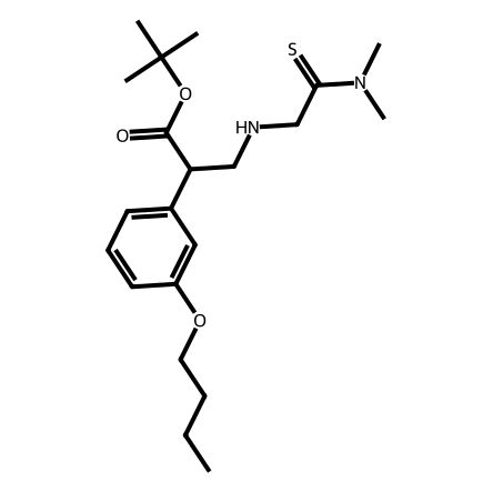 CCCCOc1cccc(C(CNCC(=S)N(C)C)C(=O)OC(C)(C)C)c1